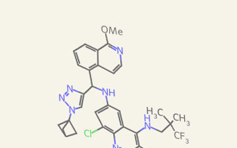 COc1nccc2c(C(Nc3cc(Cl)c4ncc(C#N)c(NCC(C)(C)C(F)(F)F)c4c3)c3cn(C45CC(C4)C5)nn3)cccc12